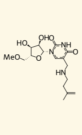 C=C(C)CCNCc1cn([C@@H]2O[C@H](COC)[C@@H](O)[C@H]2O)c(=O)[nH]c1=O